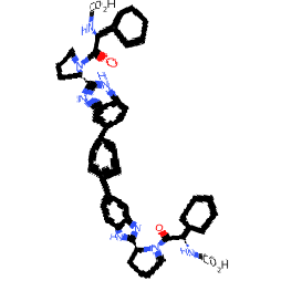 O=C(O)N[C@H](C(=O)N1CCC[C@H]1c1nc2cc(-c3ccc(-c4ccc5[nH]c([C@@H]6CCCN6C(=O)[C@@H](NC(=O)O)C6CCCCC6)nc5c4)cc3)ccc2[nH]1)C1CCCCC1